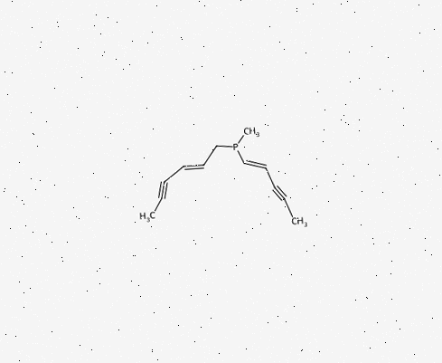 CC#CC=CCP(C)C=CC#CC